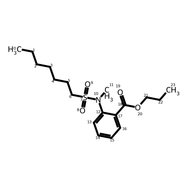 CCCCCCCS(=O)(=O)N(C)c1ccccc1C(=O)OCCC